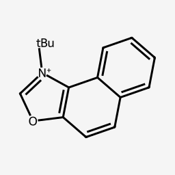 CC(C)(C)[n+]1coc2ccc3ccccc3c21